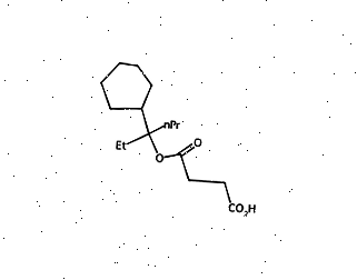 CCCC(CC)(OC(=O)CCC(=O)O)C1CCCCC1